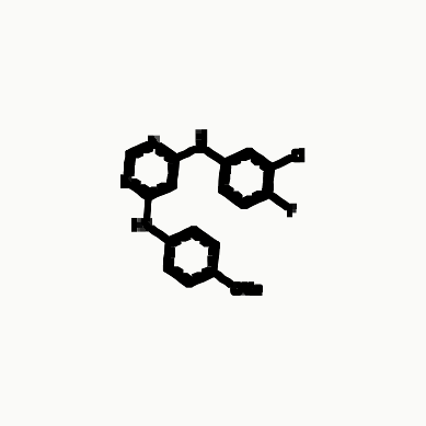 COc1ccc(Nc2cc(Nc3ccc(F)c(Cl)c3)ncn2)cc1